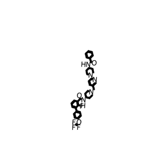 O=C(NC1CCN(c2ccc(CN3CCC(NC(=O)c4cccc(-c5ccc(OC(F)(F)F)cc5)c4F)CC3)cn2)CC1)c1ccccc1